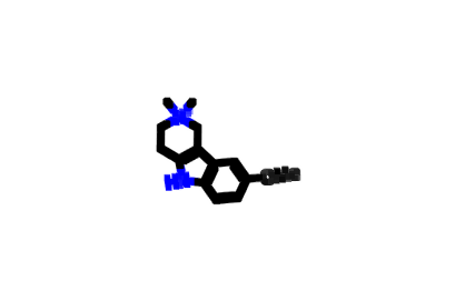 COc1ccc2[nH]c3c(c2c1)C[N+](C)(C)CC3